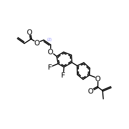 C=CC(=O)O/C=C\Oc1ccc(-c2ccc(OC(=O)C(=C)C)cc2)c(F)c1F